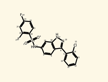 O=S(=O)(Nc1ccc2c(-c3ccccc3Cl)n[nH]c2c1)c1ccc(F)cc1F